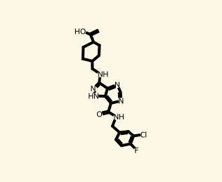 C=C(O)C1CCC(CNc2n[nH]c3c(C(=O)NCc4ccc(F)c(Cl)c4)ncnc23)CC1